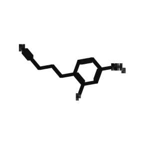 N#CCCCc1ccc(N)cc1F